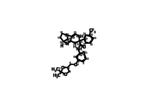 CC1(C)OC[C@H](COc2ccnc(NC(=O)C3(c4cccc(C(F)(F)F)c4)NC=C4C(=N[C@H]5CCN4C5)N3)c2)O1